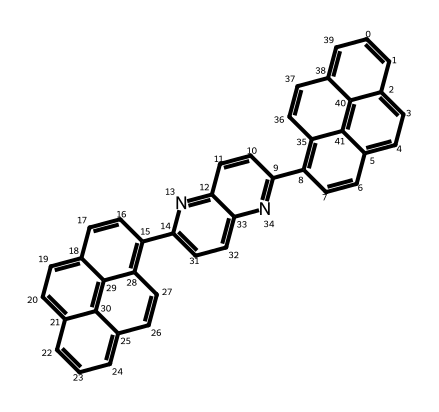 c1cc2ccc3ccc(-c4ccc5nc(-c6ccc7ccc8cccc9ccc6c7c89)ccc5n4)c4ccc(c1)c2c34